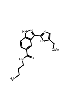 COCc1cnc(-c2n[nH]c3ccc(C(=O)NCCCN)cc23)[nH]1